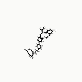 CC(=O)N1Cc2ccc(-c3ccc(OCCN4CCCC4)cc3)cc2CCc2cc(Cl)ccc21